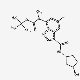 CN(C(=O)OC(C)(C)C)c1cc(Cl)cc2c(C(=O)N[C@@H]3CC[C@@H](O)C3)cnn12